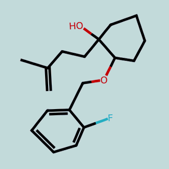 C=C(C)CCC1(O)CCCCC1OCc1ccccc1F